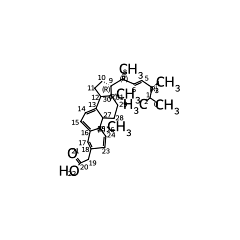 CC(C)[C@@H](C)C=C[C@@H](C)[C@H]1CCC2C3=CC=C4C=C(CC(=O)O)C=C[C@]4(C)C3CC[C@@]21C